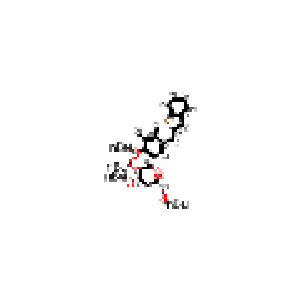 CCCCOC[C@@H]1C[C@H](OCCCC)[C@@H](OCCCC)[C@H](c2cc(Cc3cc4ccccc4s3)c(C)c(C)c2OCCCC)O1